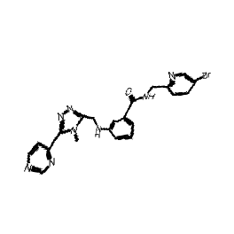 Cn1c(CNc2cccc(C(=O)NCc3ccc(Br)cn3)c2)nnc1-c1ccncn1